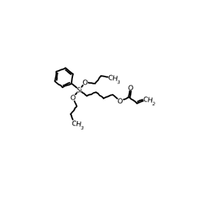 C=CC(=O)OCCCC[Si](OCCC)(OCCC)c1ccccc1